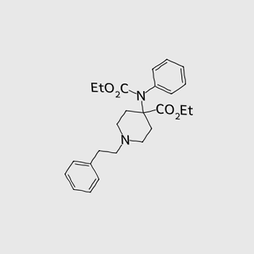 CCOC(=O)N(c1ccccc1)C1(C(=O)OCC)CCN(CCc2ccccc2)CC1